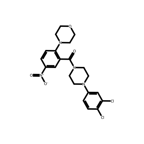 O=C(c1cc([N+](=O)[O-])ccc1N1CCOCC1)N1CCN(c2ccc(Cl)c(Cl)c2)CC1